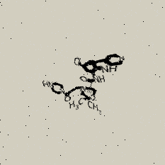 CC1(C)CN(CC(=O)N2CCNCC2)[C@H](C(=O)Nc2cc(Cl)cc3c2[nH]c2cnccc23)CO1